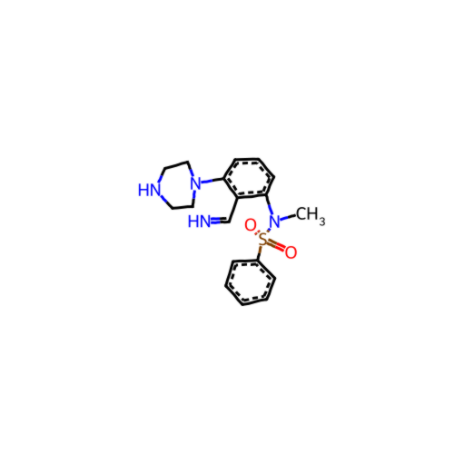 CN(c1cccc(N2CCNCC2)c1C=N)S(=O)(=O)c1ccccc1